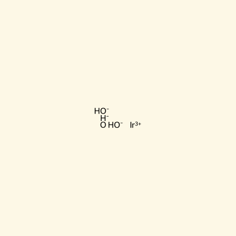 [Ir+3].[OH-].[OH-].[OH-]